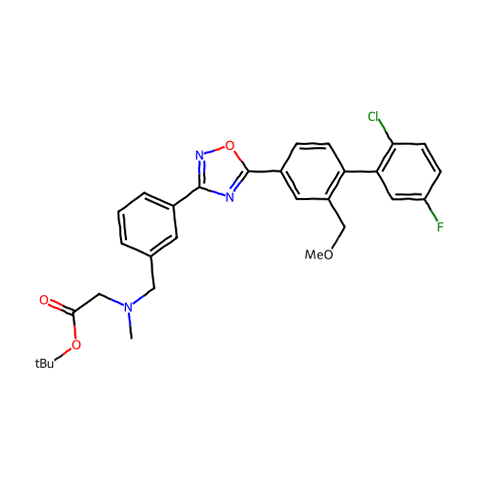 COCc1cc(-c2nc(-c3cccc(CN(C)CC(=O)OC(C)(C)C)c3)no2)ccc1-c1cc(F)ccc1Cl